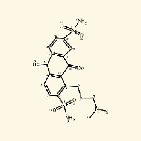 CN(C)CCCc1c(S(N)(=O)=O)ccc2c1C(=O)c1cc(S(N)(=O)=O)ccc1C2=O